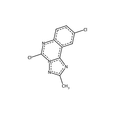 Cc1nc2c3cc(Cl)ccc3nc(Cl)n2n1